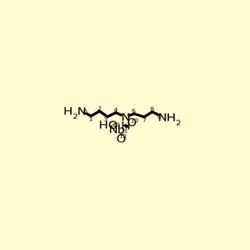 NCCCCNCCCN.[O]=[Nb](=[O])[OH]